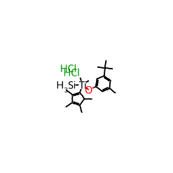 CC1=C(C)C(C)[C]([Ti]([CH3])([CH3])([SiH3])[O]c2cc(C)cc(C(C)(C)C)c2)=C1C.Cl.Cl